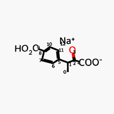 CC(C(=O)C(=O)[O-])c1ccc(C(=O)O)cc1.[Na+]